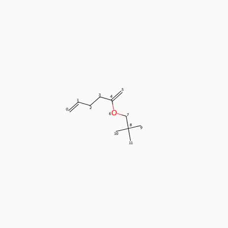 C=CCCC(=C)OCC(C)(C)C